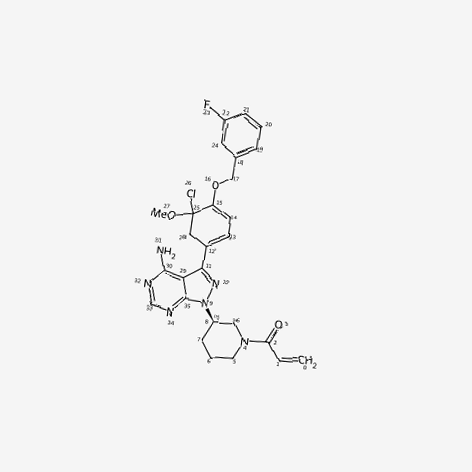 C=CC(=O)N1CCC[C@@H](n2nc(C3=CC=C(OCc4cccc(F)c4)C(Cl)(OC)C3)c3c(N)ncnc32)C1